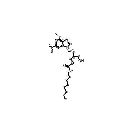 CCCCCCCCOC(=O)OCC(CO)OCn1cnc2c(SC)nc(N(C)C)nc21